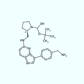 CC(C)(C)OC(O)N1CCC[C@@H]1CNc1ccc2ncc(-c3ccc(CN)cc3)n2n1